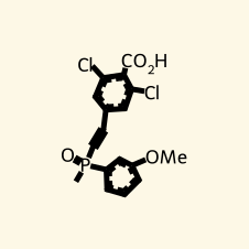 COc1cccc(P(C)(=O)C#Cc2cc(Cl)c(C(=O)O)c(Cl)c2)c1